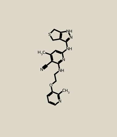 Cc1cc(Nc2n[nH]c3c2CSC3)nc(NCCOc2cccnc2C)c1C#N